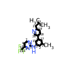 Cc1cc(Nc2nccc(C(F)(F)F)n2)cc(-c2ccc(CC(C)C)nc2)c1